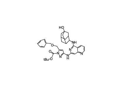 CC(C)(C)OC(=O)n1nc(Nc2cc3ncccc3c(NC3C4CC5CC3CC(O)(C5)C4)n2)cc1COCc1ccccc1